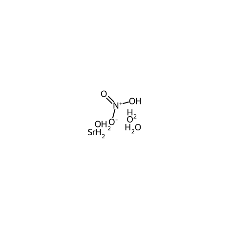 O.O.O.O=[N+]([O-])O.[SrH2]